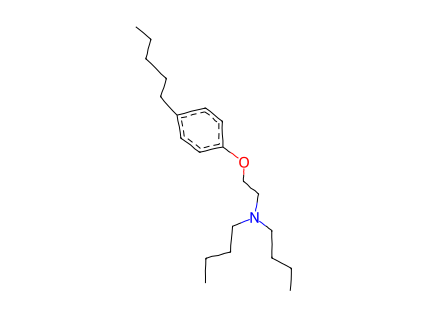 CCCCCc1ccc(OCCN(CCCC)CCCC)cc1